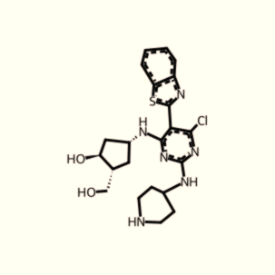 OC[C@H]1C[C@@H](Nc2nc(NC3CCNCC3)nc(Cl)c2-c2nc3ccccc3s2)C[C@@H]1O